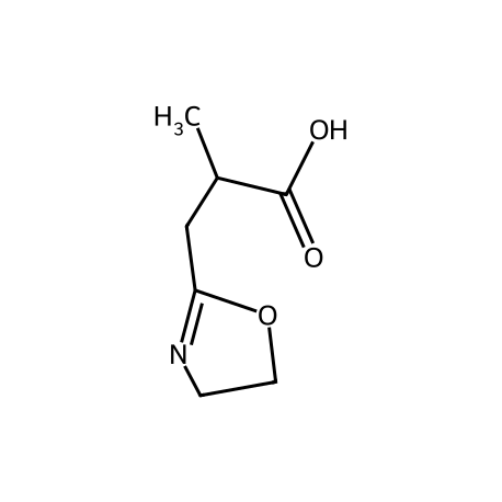 CC(CC1=NCCO1)C(=O)O